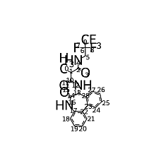 CC(C(=O)NCC(F)(F)C(F)(F)F)C(=O)NC1C(=O)Nc2ccccc2-c2ccccc21